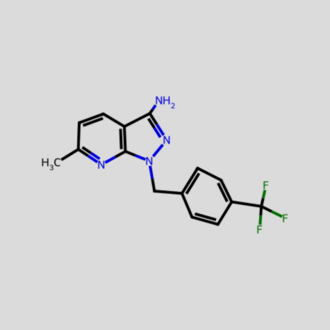 Cc1ccc2c(N)nn(Cc3ccc(C(F)(F)F)cc3)c2n1